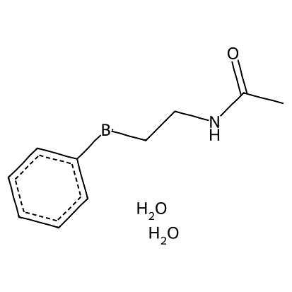 CC(=O)NCC[B]c1ccccc1.O.O